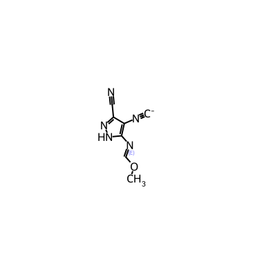 [C-]#[N+]c1c(C#N)n[nH]c1/N=C/OC